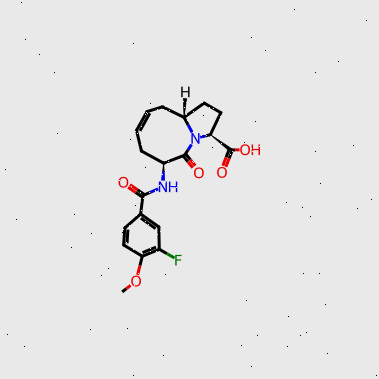 COc1ccc(C(=O)N[C@H]2C/C=C\C[C@@H]3CC[C@@H](C(=O)O)N3C2=O)cc1F